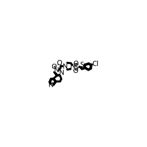 O=C(c1nc2c(c[n+]1[O-])-c1ccncc1CC2)N1CCN(S(=O)(=O)c2cc3ccc(Cl)cc3s2)CC1